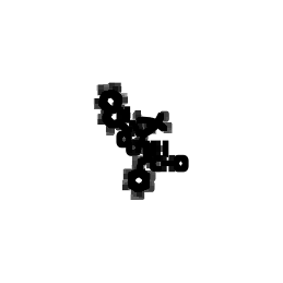 CC1(C)C2CN(C(=O)c3ccc4ccccc4n3)C(C(=O)N[C@H](C=O)Cc3ccccc3)C21